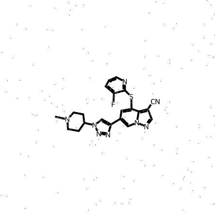 CN1CCC(n2cc(-c3cc(Sc4ncccc4F)c4c(C#N)cnn4c3)nn2)CC1